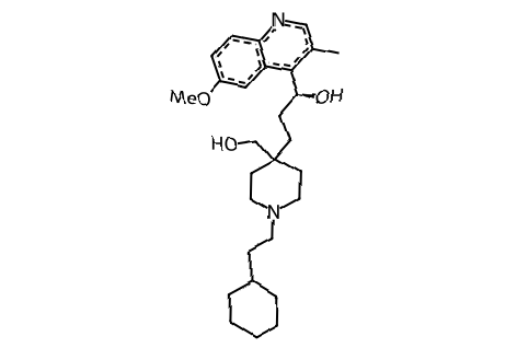 COc1ccc2ncc(C)c([C@@H](O)CCC3(CO)CCN(CCC4CCCCC4)CC3)c2c1